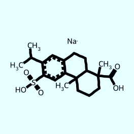 CC(C)c1cc2c(cc1S(=O)(=O)O)C1(C)CCCC(C)(C(=O)O)C1CC2.[Na]